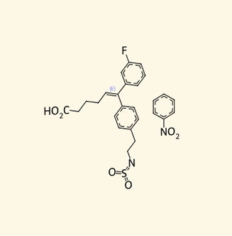 O=C(O)CCC/C=C(\c1ccc(CCN=S(=O)=O)cc1)c1cccc(F)c1.O=[N+]([O-])c1ccccc1